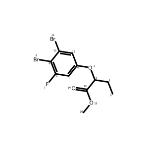 CCC(Oc1cc(F)c(Br)c(Br)c1)C(=O)OC